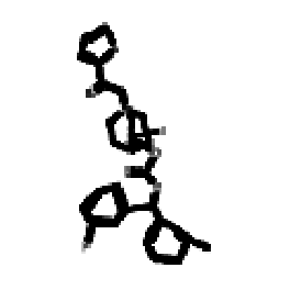 Cc1cccc(C(OC(=O)O[C@H]2C[N+]3(CC(=O)c4cccs4)CCC2CC3)c2cccc(F)c2)c1